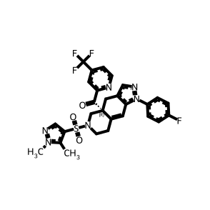 Cc1c(S(=O)(=O)N2CCC3=Cc4c(cnn4-c4ccc(F)cc4)C[C@]3(C(=O)c3cc(C(F)(F)F)ccn3)C2)cnn1C